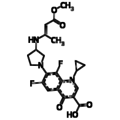 COC(=O)/C=C(\C)NC1CCN(c2c(F)cc3c(=O)c(C(=O)O)cn(C4CC4)c3c2F)C1